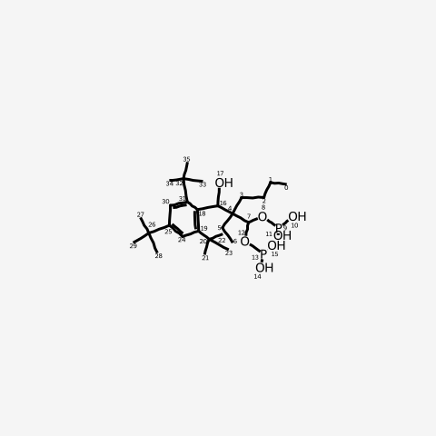 CCCCC(CC)(C(OP(O)O)OP(O)O)C(O)c1c(C(C)(C)C)cc(C(C)(C)C)cc1C(C)(C)C